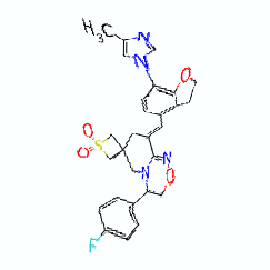 Cc1cn(-c2ccc(/C=C3\CC4(CN5C3=NOCC5c3ccc(F)cc3)CS(=O)(=O)C4)c3c2OCC3)cn1